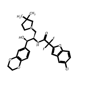 CC1(C)CCN(C[C@@H](NC(=O)C(F)(F)c2cc3cc(Cl)ccc3o2)[C@H](O)c2ccc3c(c2)OCCO3)C1